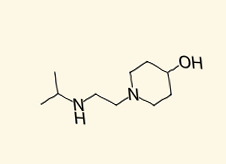 CC(C)NCCN1CCC(O)CC1